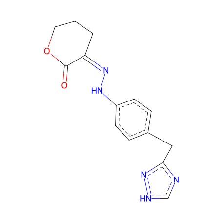 O=C1OCCCC1=NNc1ccc(Cc2nc[nH]n2)cc1